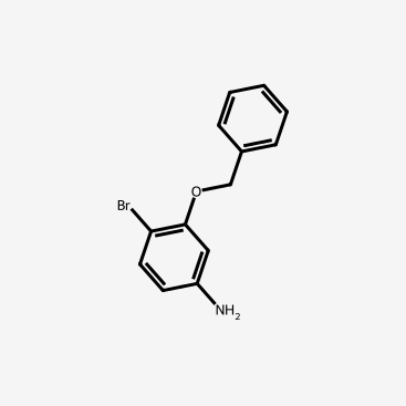 Nc1ccc(Br)c(OCc2ccccc2)c1